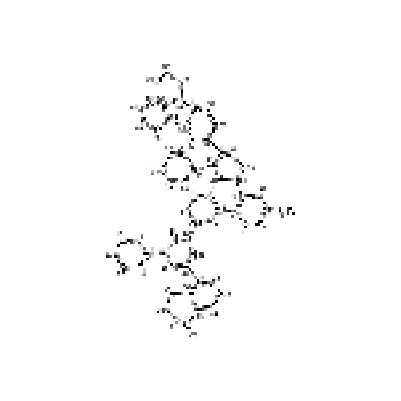 N#Cc1ccc(-c2cccc(-c3nc(-c4ccccc4)nc(-c4cccc5ccccc45)n3)c2)c(-c2ccc(-c3ccc4c(c3)-c3cccc5cccc-4c35)c(-c3ccccc3)c2)c1